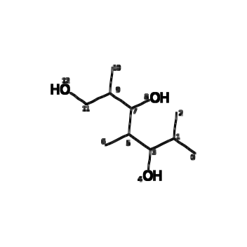 CC(C)C(O)C(C)C(O)C(C)CO